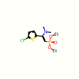 CCOP(=O)(C=C(c1ccc(Cl)s1)N(C)C)OCC